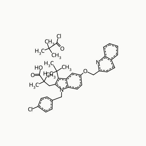 CC(C)(C)C(=O)Cl.CC(C)(Cc1c(C(C)(C)C)c2cc(OCc3ccc4ccccc4n3)ccc2n1Cc1ccc(Cl)cc1)C(=O)O